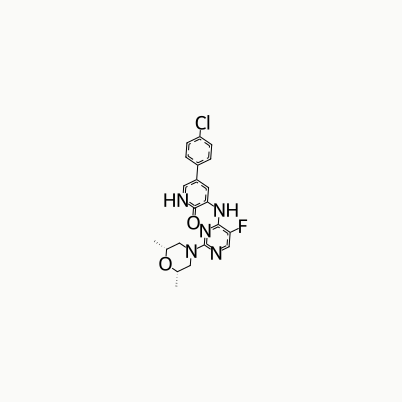 C[C@@H]1CN(c2ncc(F)c(Nc3cc(-c4ccc(Cl)cc4)c[nH]c3=O)n2)C[C@H](C)O1